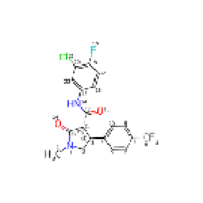 CN1C[C@H](c2ccc(C(F)(F)F)cc2)[C@@H](C(=O)Nc2ccc(F)c(Cl)c2)C1=O